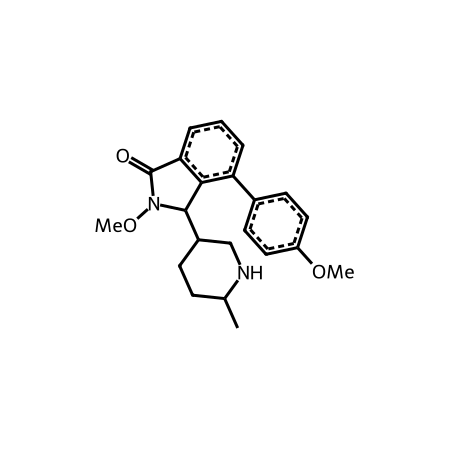 COc1ccc(-c2cccc3c2C(C2CCC(C)NC2)N(OC)C3=O)cc1